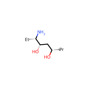 CC[C@H](N)[C@@H](O)C[C@@H](O)C(C)C